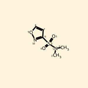 CN(C)S(=O)(=O)c1ccon1